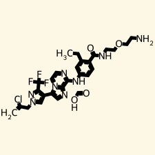 C=C(Cl)Cn1cc(-c2cnc3c(Nc4ccc(C(=O)NCCOCCN)c(CC)c4)nccn23)c(C(F)(F)F)n1.O=CO